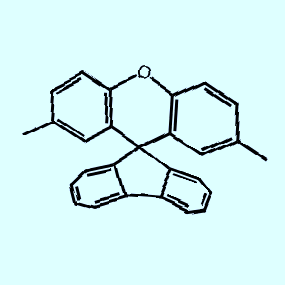 Cc1ccc2c(c1)C1(c3cc(C)ccc3O2)c2ccccc2-c2ccccc21